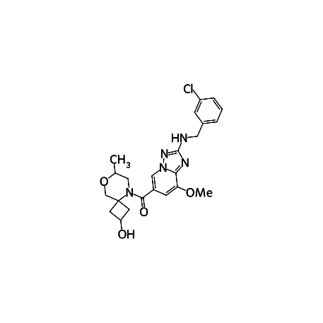 COc1cc(C(=O)N2CC(C)OCC23CC(O)C3)cn2nc(NCc3cccc(Cl)c3)nc12